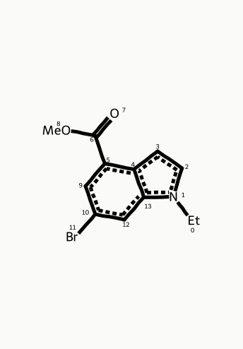 CCn1ccc2c(C(=O)OC)cc(Br)cc21